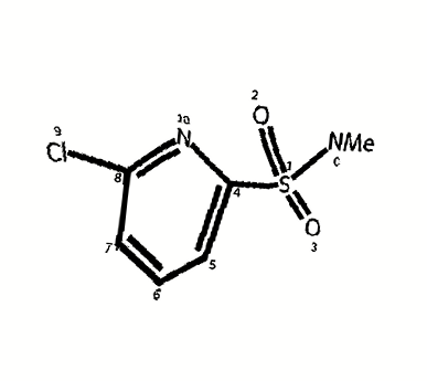 CNS(=O)(=O)c1cc[c]c(Cl)n1